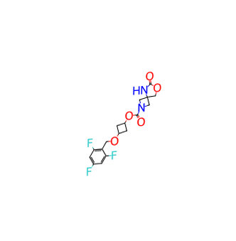 O=C1NC2(CO1)CN(C(=O)OC1CC(OCc3c(F)cc(F)cc3F)C1)C2